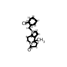 CC12CCC(=O)N1CCc1c2ccn1Cc1ccccc1Cl